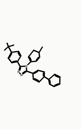 CC1C=CC(n2c(-c3ccc(-c4ccccc4)cc3)nnc2-c2ccc(C(C)(C)C)cc2)=CC1